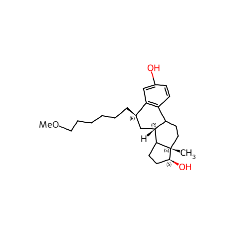 COCCCCCC[C@@H]1C[C@@H]2C(CC[C@@]3(C)C2CC[C@@H]3O)c2ccc(O)cc21